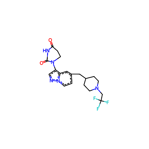 O=C1CCN(c2cnn3ccc(CC4CCN(CC(F)(F)F)CC4)cc23)C(=O)N1